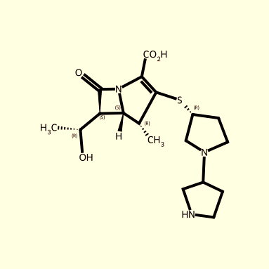 C[C@@H](O)[C@H]1C(=O)N2C(C(=O)O)=C(S[C@@H]3CCN(C4CCNC4)C3)[C@H](C)[C@H]12